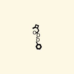 C=C1CCC1CC(=O)OCOCc1ccccc1